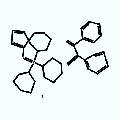 C1=CCC(N=P(C2CCCCC2)(C2CCCCC2)C2CCCCC2)=C1.C=C(C(=C)c1ccccc1)c1ccccc1.[Ti]